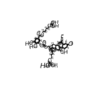 C[C@]12C=CC(=O)C=C1[C@@H](F)CC1C3CC[C@](OC(=O)CCCON(O)O)(C(=O)COC(=O)Oc4cc(C(=O)OCCCCON(O)O)cc(O)c4O)[C@@]3(C)C[C@H](O)[C@@]12F